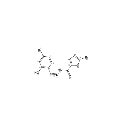 O=C(N/N=C\c1ccc(Br)cc1O)c1ccc(Br)s1